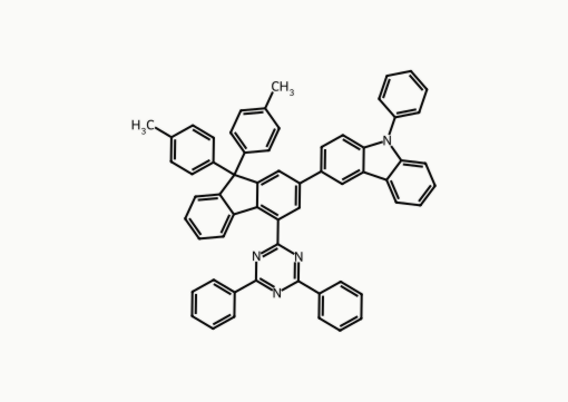 Cc1ccc(C2(c3ccc(C)cc3)c3ccccc3-c3c(-c4nc(-c5ccccc5)nc(-c5ccccc5)n4)cc(-c4ccc5c(c4)c4ccccc4n5-c4ccccc4)cc32)cc1